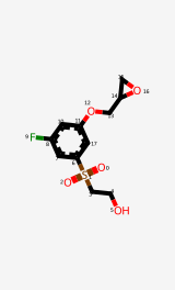 O=S(=O)(CCO)c1cc(F)cc(OCC2CO2)c1